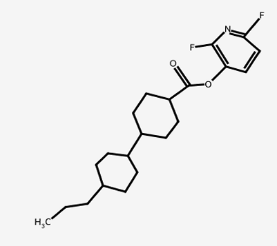 CCCC1CCC(C2CCC(C(=O)Oc3ccc(F)nc3F)CC2)CC1